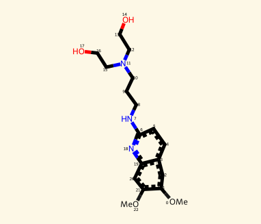 COc1cc2ccc(NCCCN(CCO)CCO)nc2cc1OC